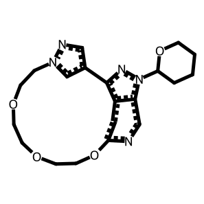 c1nn2cc1-c1nn(C3CCCCO3)c3cnc(cc13)OCCOCCOCC2